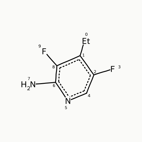 CCc1c(F)cnc(N)c1F